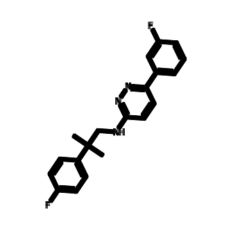 CC(C)(CNc1ccc(-c2cccc(F)c2)nn1)c1ccc(F)cc1